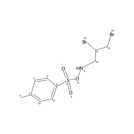 Cc1ccc(S(=O)(=O)ONCC(Br)CBr)cc1